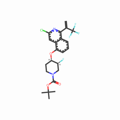 C=C(c1nc(Cl)cc2c(O[C@@H]3CCN(C(=O)OC(C)(C)C)C[C@@H]3F)cccc12)C(F)(F)F